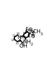 CS(=O)(=O)c1cc(N)c(N2CCCCC2CO)cc1F